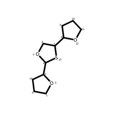 C1COC([C]2OCC(C3CCCO3)S2)C1